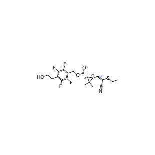 CCS/C(C#N)=C/[C@@H]1[C@@H](C(=O)OCc2c(F)c(F)c(CCO)c(F)c2F)C1(C)C